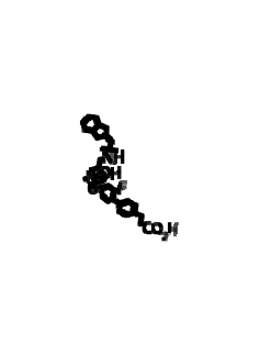 CN(CC(O)CNC(C)(C)CC1Cc2ccccc2C1)S(=O)(=O)c1ccc(-c2ccc(CCC(=O)O)cc2)c(F)c1